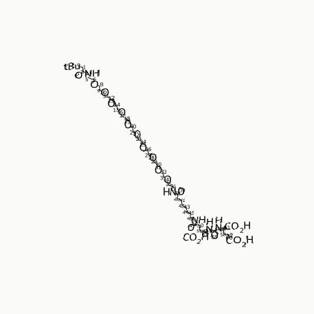 CC(C)(C)CC(=O)NCCOCCOCCOCCOCCOCCOCCOCCOCCOCCOCCNC(=O)CCCCCCCNC(=O)CC[C@H](NC(=O)N[C@@H](CCC(=O)O)C(=O)O)C(=O)O